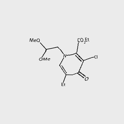 CCOC(=O)c1c(Cl)c(=O)c(CC)cn1CC(OC)OC